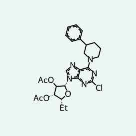 CC[C@H]1O[C@@H](n2cnc3c(N4CCCC(c5ccccc5)C4)nc(Cl)nc32)C(OC(C)=O)[C@H]1OC(C)=O